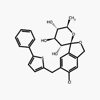 C[C@H]1O[C@]2(OCc3cc(Cl)c(Cc4ccc(-c5ccccc5)s4)cc32)[C@H](O)[C@@H](O)[C@@H]1O